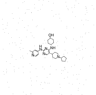 Cc1cc(Nc2ncc(C3CCN(C4CCCC4)CC3)c(N[C@H]3CC[C@H](O)CC3)n2)ccn1